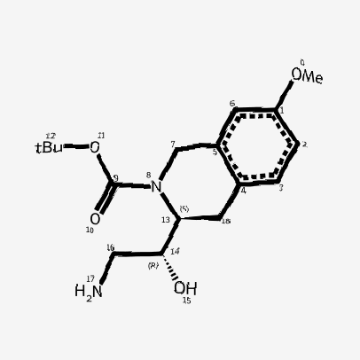 COc1ccc2c(c1)CN(C(=O)OC(C)(C)C)[C@H]([C@H](O)CN)C2